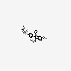 CCOc1ccc2c(N)c(-c3ccc(NC(=O)OC(C)CC)cc3)n(C3CCC3)c2c1